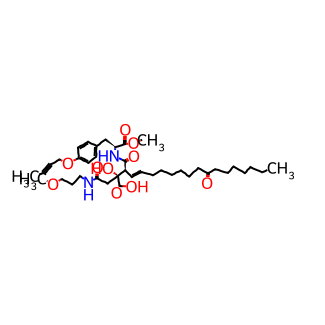 CC#CCOc1ccc(C[C@H](NC(=O)[C@@H](/C=C/CCCCCCC(=O)CCCCCCC)[C@@](O)(CC(=O)NCCCOC)C(=O)O)C(=O)OC)cc1